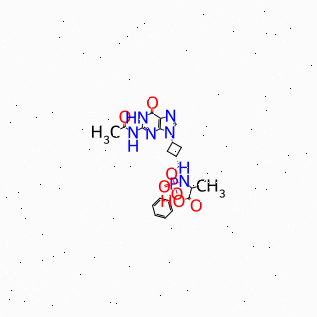 CC(=O)Nc1nc2c(ncn2[C@H]2C[C@@H](COP(=O)(NC(C)C(=O)O)Oc3ccccc3)C2)c(=O)[nH]1